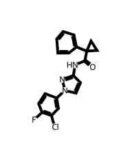 O=C(Nc1ccn(-c2ccc(F)c(Cl)c2)n1)C1(c2ccccc2)CC1